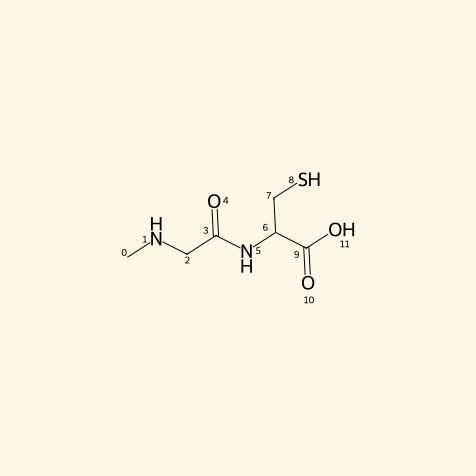 CNCC(=O)NC(CS)C(=O)O